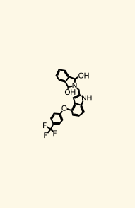 OC1c2ccccc2C(O)N1Cc1cc2c(Oc3ccc(C(F)(F)F)cc3)cccc2[nH]1